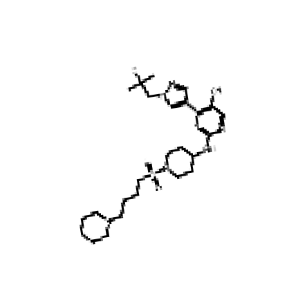 CC(C)(O)Cn1cc(-c2nc(NC3CCN(S(=O)(=O)CCCCN4CCCCC4)CC3)ncc2C#N)cn1